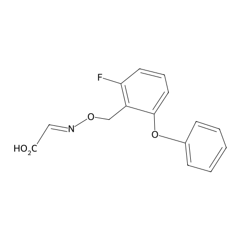 O=C(O)C=NOCc1c(F)cccc1Oc1ccccc1